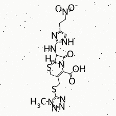 Cn1nnnc1SCC1=C(C(=O)O)N2C(=O)C(Nc3nc(CC[N+](=O)[O-])c[nH]3)[C@@H]2SC1